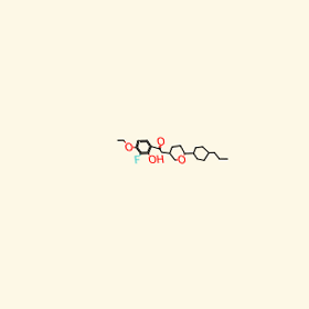 CCCC1CCC(C2CCC(CC(=O)c3ccc(OCC)c(F)c3O)CO2)CC1